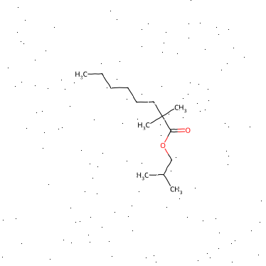 CCCCCCC(C)(C)C(=O)OCC(C)C